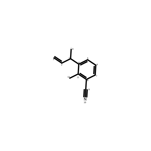 [CH2]C(C=C)c1cccc(C#N)c1C